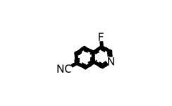 N#Cc1ccc2c(F)cncc2c1